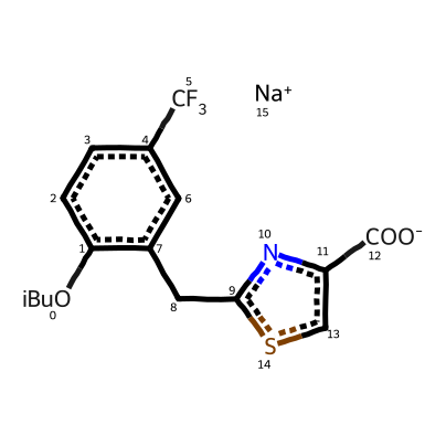 CC(C)COc1ccc(C(F)(F)F)cc1Cc1nc(C(=O)[O-])cs1.[Na+]